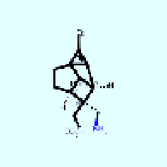 CCC1=C2[C@@H]3[C@H]4[C@H](CCC124)[C@]3(CN)CC(=O)O